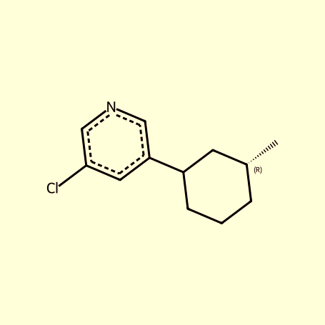 C[C@@H]1CCCC(c2cncc(Cl)c2)C1